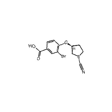 N#CB1CC[C@H](Oc2ccc(C(=O)O)cc2Br)C1